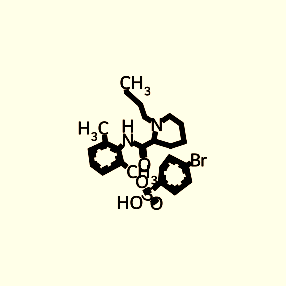 CCCCN1CCCCC1C(=O)Nc1c(C)cccc1C.O=S(=O)(O)c1ccc(Br)cc1